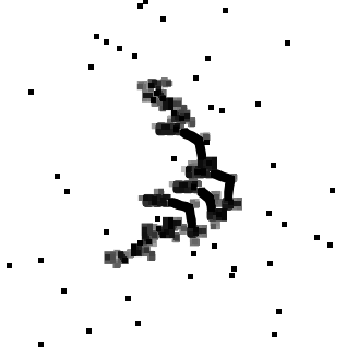 N.N.N.N.N.N.N.N.O=C([O-])CO.O=C([O-])CO.O=C([O-])CO.O=C([O-])CO.[Pt+4]